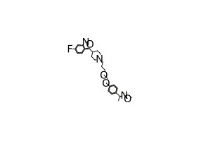 CON=C(C)c1ccc(OCOCCCN2CCC(c3onc4cc(F)ccc34)CC2)cc1